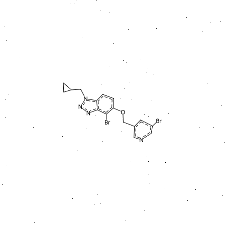 Brc1cncc(COc2ccc3c(nnn3CC3CC3)c2Br)c1